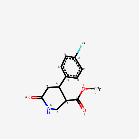 CCCOC(=O)C1CNC(=O)CC1c1ccc(F)cc1